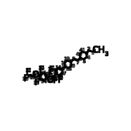 CCCC1CCC(/C=C/C2CCC(c3cc(F)c(C(F)(F)Oc4cc(F)c(OC=C(F)F)c(F)c4)c(F)c3)CC2)CC1